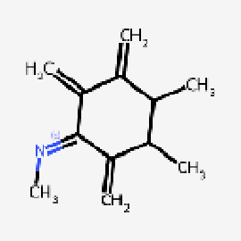 C=C1C(=C)C(C)C(C)C(=C)/C1=N\C